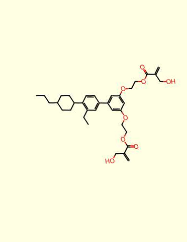 C=C(CO)C(=O)OCCOc1cc(OCCOC(=O)C(=C)CO)cc(-c2ccc(C3CCC(CCC)CC3)c(CC)c2)c1